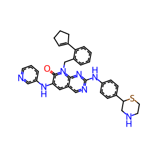 O=c1c(Nc2cccnc2)cc2cnc(Nc3ccc(C4CNCCS4)cc3)nc2n1Cc1ccccc1C1=CCCC1